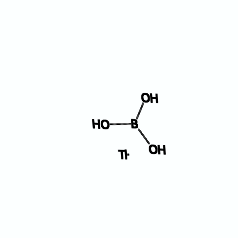 OB(O)O.[Tl]